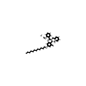 CCCCCCCCCCCCOc1ccc(CN(Cc2cccc[n+]2C)C(=O)c2ccccc2OC)c(C)c1.[I-]